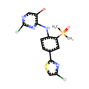 CP(C)(=O)c1cc(-c2nc(Cl)cs2)ccc1Nc1nc(Cl)ncc1Br